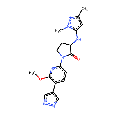 COc1nc(N2CCC(Nc3cc(C)nn3C)C2=O)ccc1-c1cn[nH]c1